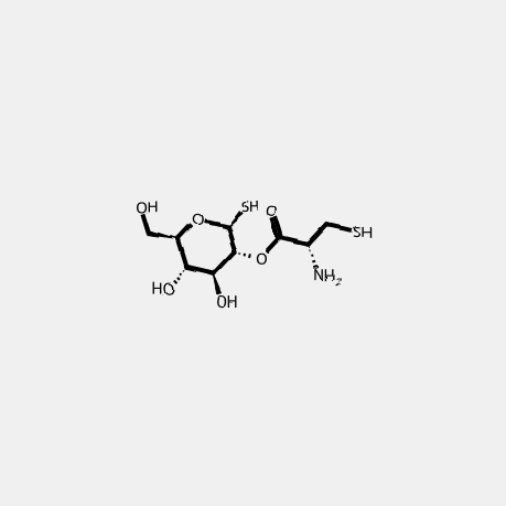 N[C@@H](CS)C(=O)O[C@@H]1[C@@H](O)[C@H](O)[C@@H](CO)O[C@H]1S